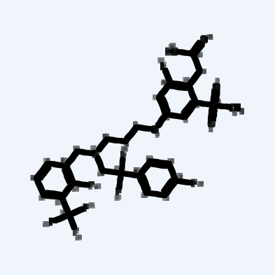 CS(=O)(=O)c1cc(OCCCN(Cc2cccc(C(F)(F)F)c2F)CC(F)(F)c2ccc(F)cc2)cc(F)c1CC(=O)O